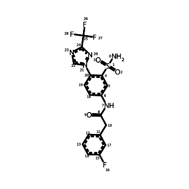 NS(=O)(=O)c1cc(NC(=O)Cc2cccc(F)c2)ccc1-n1cnc(C(F)(F)F)n1